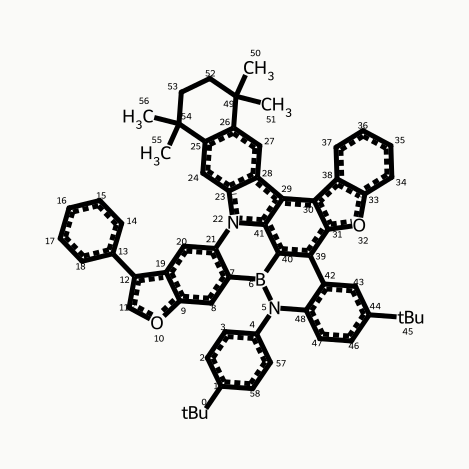 CC(C)(C)c1ccc(N2B3c4cc5occ(-c6ccccc6)c5cc4-n4c5cc6c(cc5c5c7c(oc8ccccc87)c(c3c54)-c3cc(C(C)(C)C)ccc32)C(C)(C)CCC6(C)C)cc1